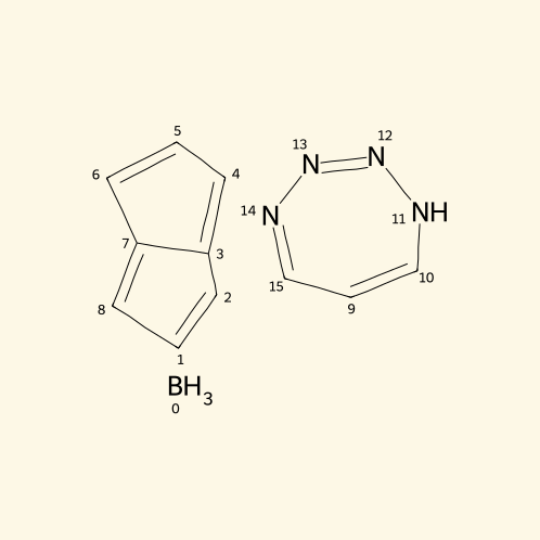 B.C1=CC2=CC=CC2=C1.C1=CNN=NN=C1